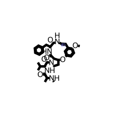 CNC(C)C(=O)NC(C(=O)N1CCC2Oc3ccc(OC)c(c3)/C=C/NC(=O)C(Cc3ccccc3)NC(=O)C21)C(C)C